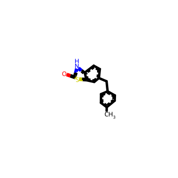 Cc1ccc(Cc2ccc3[nH]c(=O)sc3c2)cc1